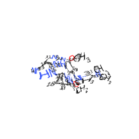 C=CC(=O)Nc1cc(Nc2ncc(C#N)c(NC3CC4CC3C3CC43)n2)c(OC)cc1N(C)CCN(C)C